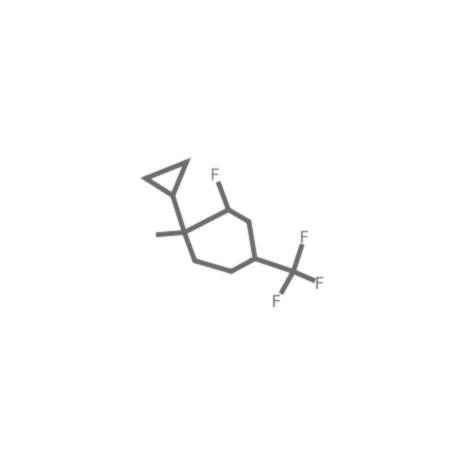 CC1(C2CC2)CC[C](C(F)(F)F)CC1F